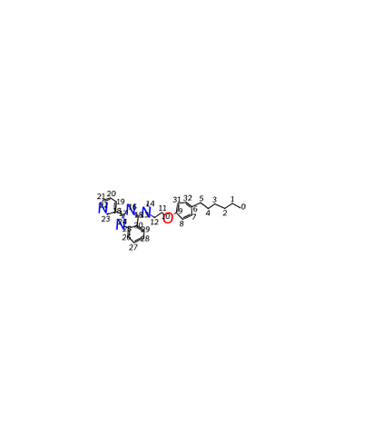 CCCCCCc1ccc(OCCN(C)c2nc(-c3cccnc3)nc3ccccc23)cc1